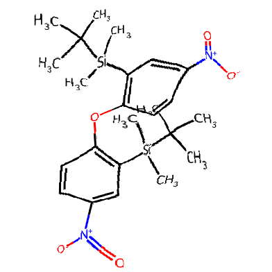 CC(C)(C)[Si](C)(C)c1cc([N+](=O)[O-])ccc1Oc1ccc([N+](=O)[O-])cc1[Si](C)(C)C(C)(C)C